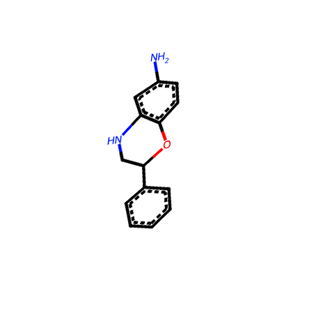 Nc1ccc2c(c1)NCC(c1ccccc1)O2